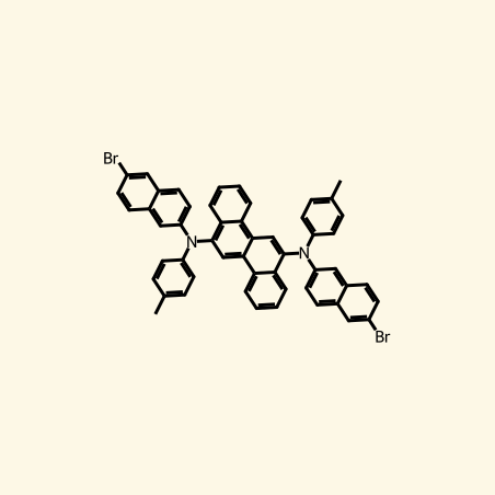 Cc1ccc(N(c2ccc3cc(Br)ccc3c2)c2cc3c4ccccc4c(N(c4ccc(C)cc4)c4ccc5cc(Br)ccc5c4)cc3c3ccccc23)cc1